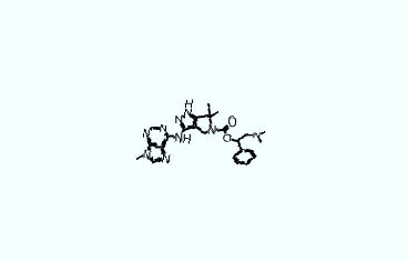 CN(C)CC(OC(=O)N1Cc2c(Nc3ncnc4c3ncn4C)n[nH]c2C1(C)C)c1ccccc1